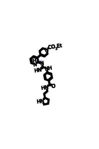 CCOC(=O)N1CC=C(c2ccc[nH]/c2=N\C(=N)Nc2ccc(C(=O)NCCC3CCCN3)cc2)CC1